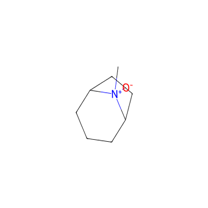 C[N+]1([O-])C2CCCC1CC2